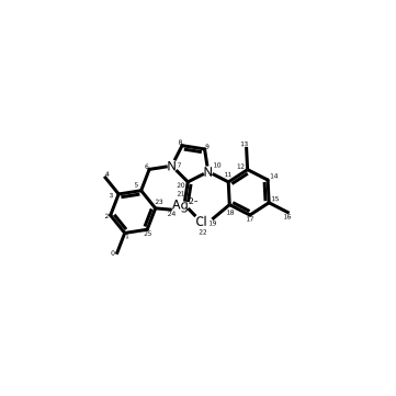 Cc1cc(C)c(Cn2ccn(-c3c(C)cc(C)cc3C)[c]2=[Ag-2][Cl])c(C)c1